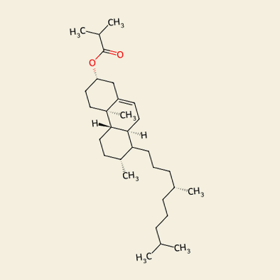 CC(C)CCC[C@@H](C)CCCC1[C@H](C)CC[C@H]2[C@H]1CC=C1C[C@@H](OC(=O)C(C)C)CC[C@@]12C